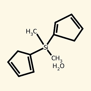 C[Si](C)(C1=CC=CC1)C1=CC=CC1.O